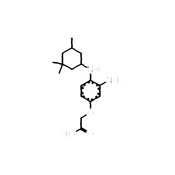 CC1CC(Nc2ccc(OCC(=O)O)cc2N)CC(C)(C)C1